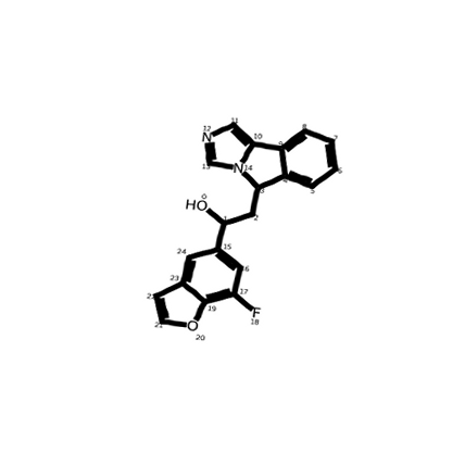 OC(CC1c2ccccc2-c2cncn21)c1cc(F)c2occc2c1